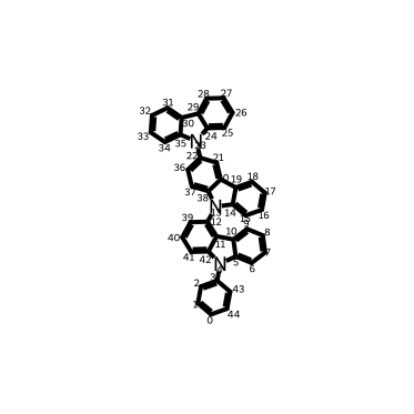 c1ccc(-n2c3ccccc3c3c(-n4c5ccccc5c5cc(-n6c7ccccc7c7ccccc76)ccc54)cccc32)cc1